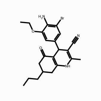 CCCC1CC(=O)C2=C(C1)NC(C)=C(C#N)C2c1cc(Br)c(N)c(OCC)c1